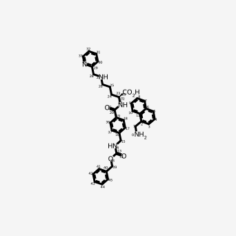 NCc1cccc2ccccc12.O=C(NCc1ccc(C(=O)N[C@@H](CCCNCc2ccccn2)C(=O)O)cc1)OCc1ccccc1